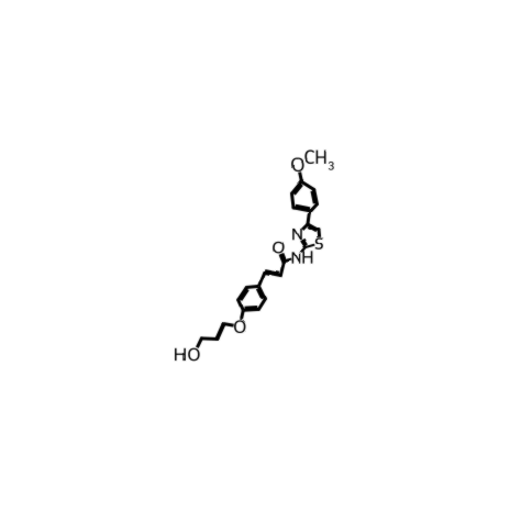 COc1ccc(-c2csc(NC(=O)C=Cc3ccc(OCCCO)cc3)n2)cc1